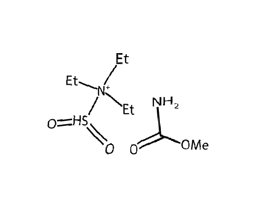 CC[N+](CC)(CC)[SH](=O)=O.COC(N)=O